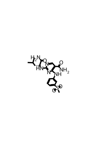 CC(C)C[C@@H](Nc1ncc(C(N)=O)c(Nc2cccc(S(C)(=O)=O)c2)n1)C(N)=O